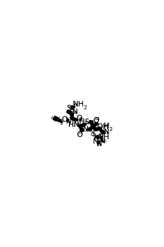 C#CCON=C(C(=O)NC1C(=O)N2CC(C(=O)O)(C(CCN)Sc3nnn[nH]3)CS[C@H]12)c1csc(N)n1